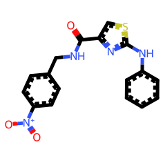 O=C(NCc1ccc([N+](=O)[O-])cc1)c1csc(Nc2ccccc2)n1